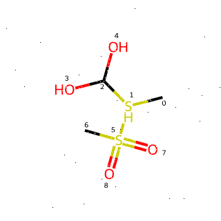 C[SH](C(O)O)S(C)(=O)=O